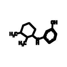 CC1CCCC(Nc2cccc(O)c2)C1C